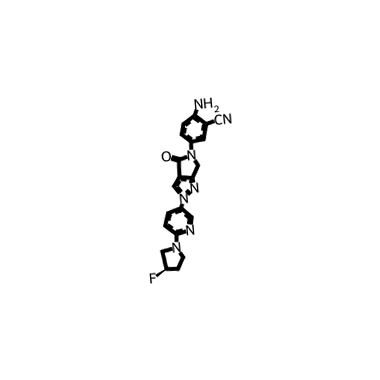 N#Cc1cc(N2Cc3nn(-c4ccc(N5CC[C@@H](F)C5)nc4)cc3C2=O)ccc1N